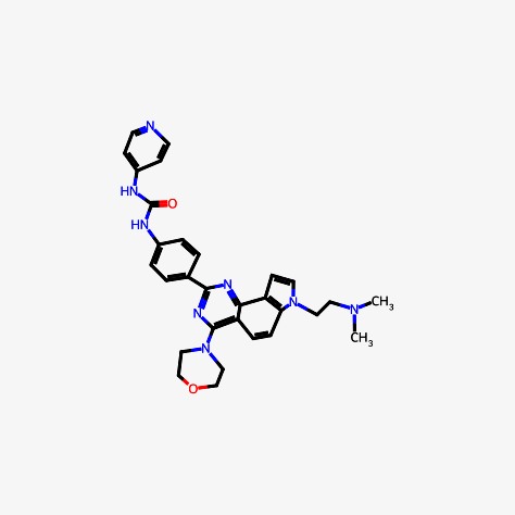 CN(C)CCn1ccc2c3nc(-c4ccc(NC(=O)Nc5ccncc5)cc4)nc(N4CCOCC4)c3ccc21